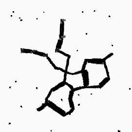 Cc1ccc2c(c1)C(CN=[N+]=[N-])(CN=[N+]=[N-])c1cc(C)ccc1-2